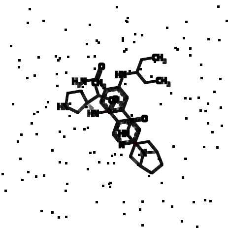 CCC(CC)Nc1cc(C(=O)NC2CC3CCC(C2)N3c2ccc(C(=O)N[C@@]3(C(C)C)CCNC3)cn2)ccc1C(N)=O